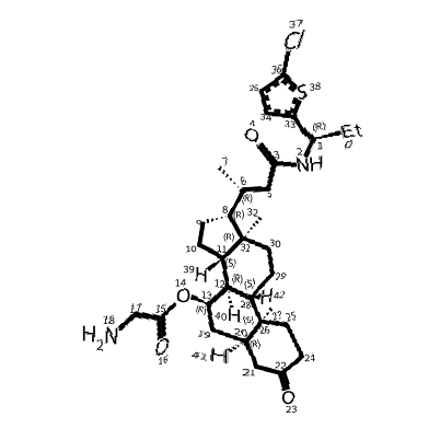 CC[C@@H](NC(=O)C[C@@H](C)[C@H]1CC[C@H]2[C@@H]3[C@H](OC(=O)CN)C[C@@H]4CC(=O)CC[C@]4(C)[C@H]3CC[C@]12C)c1ccc(Cl)s1